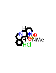 CNS(=O)(=O)N1CCC[C@@H]2CN3CCc4ccccc4[C@@H]3C[C@@H]21.Cl